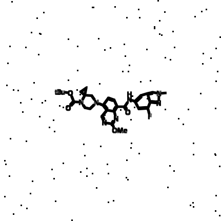 COc1ncc2c(N3CCN(C(=O)OC(C)(C)C)C4(CC4)C3)ccc(C(=O)Nc3cc(F)c4nn(C)cc4c3)c2n1